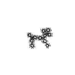 c1ccc(-c2ccc(N(c3ccc(-c4ccc5c(c4)c4cc(-c6ccccc6)ccc4n5-c4ccccc4)cc3)c3ccc([Si](c4ccccc4)(c4ccccc4)c4ccccc4)cc3)cc2)cc1